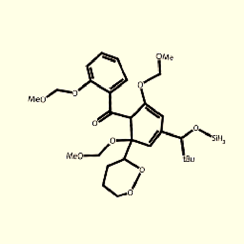 COCOC1=CC(C(O[SiH3])C(C)(C)C)=CC(OCOC)(C2CCCOO2)C1C(=O)c1ccccc1OCOC